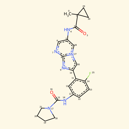 CC1(C(=O)Nc2cnc3nc(-c4cc(NC(=O)N5CCCC5)ccc4F)cn3c2)CC1